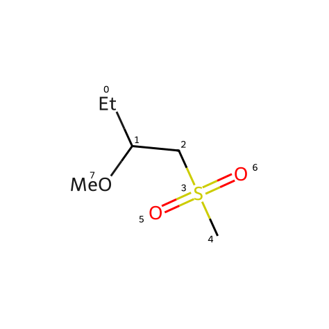 CCC(CS(C)(=O)=O)OC